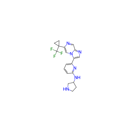 FC(F)(F)C1(c2cn3c(-c4cccc(NC5CCNC5)n4)cnc3cn2)CC1